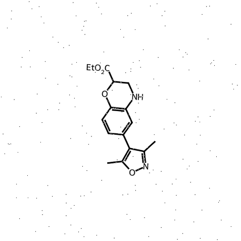 CCOC(=O)C1CNc2cc(-c3c(C)noc3C)ccc2O1